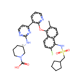 Cc1ccc2c(NS(=O)(=O)CC3CCCC3)c(F)ccc2c1Oc1ncccc1-c1ccnc(N[C@H]2CCCN(C(=O)O)C2)n1